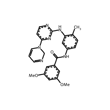 COc1cc(OC)cc(C(=O)Nc2ccc(C)c(Nc3nccc(N4C=CC=NC4)n3)c2)c1